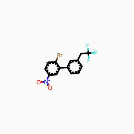 O=[N+]([O-])c1c[c]c(Br)c(-c2cccc(CC(F)(F)F)c2)c1